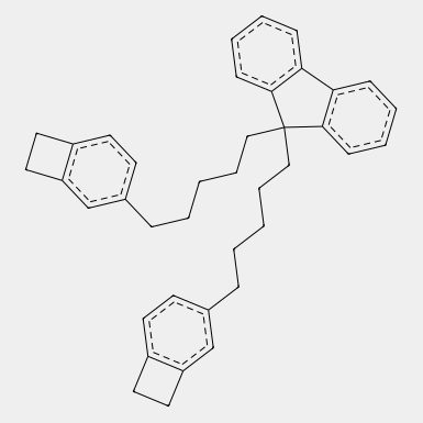 c1ccc2c(c1)-c1ccccc1C2(CCCCCc1ccc2c(c1)CC2)CCCCCc1ccc2c(c1)CC2